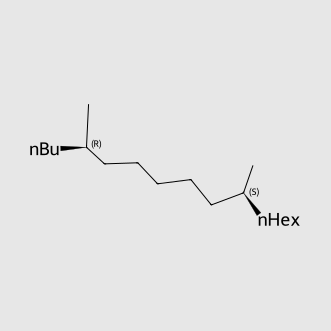 CCCCCC[C@H](C)CCCCC[C@H](C)CCCC